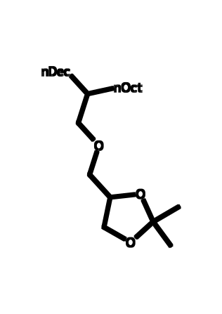 CCCCCCCCCCC(CCCCCCCC)COCC1COC(C)(C)O1